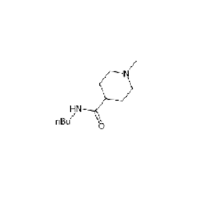 CCCCNC(=O)C1CCN(C)CC1